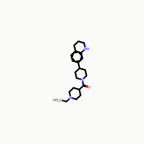 O=C(O)CN1CCC(C(=O)N2CCC(c3ccc4c(c3)NCCC4)CC2)CC1